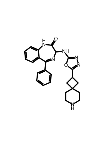 O=C1Nc2ccccc2C(c2ccccc2)=NC1Nc1nnc(C2CC3(CCNCC3)C2)o1